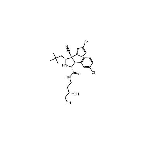 CC(C)(C)C[C@@H]1N[C@@H](C(=O)NCC[C@H](O)CO)[C@H](c2cccc(Cl)c2)[C@@]1(C#N)c1cc(Br)cs1